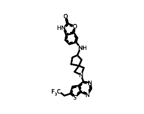 O=c1[nH]c2ccc(NC3CCC4(C3)CN(c3ncnc5sc(CC(F)(F)F)cc35)C4)cc2o1